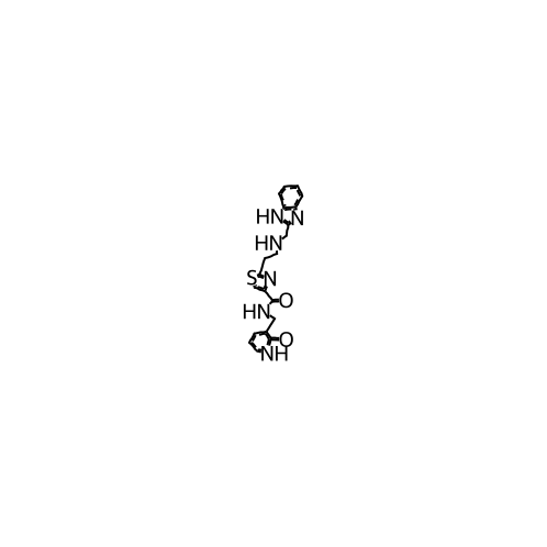 O=C(NCc1ccc[nH]c1=O)c1csc(CCNCc2nc3ccccc3[nH]2)n1